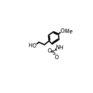 COc1ccc(CCO)cc1.N=S(=O)=O